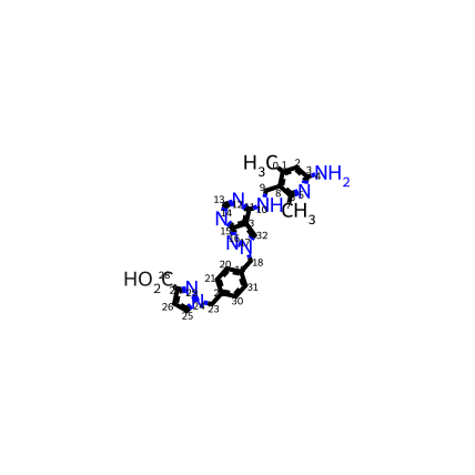 Cc1cc(N)nc(C)c1CNc1ncnc2nn(Cc3ccc(Cn4ccc(C(=O)O)n4)cc3)cc12